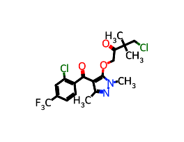 Cc1nn(C)c(OCC(=O)C(C)(C)CCl)c1C(=O)c1ccc(C(F)(F)F)cc1Cl